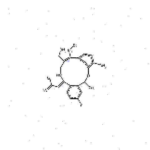 CCN/C1=C(\CN)CN/C(=C\C(=N)Cl)c2ccc(F)cc2C(C)Oc2cc1cnc2N